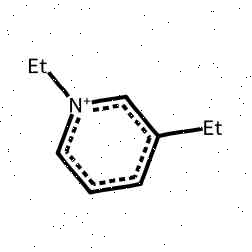 CCc1ccc[n+](CC)c1